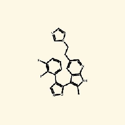 Cc1[nH]c2ncc(CCn3cncn3)cc2c1-c1oncc1-c1cccc(F)c1F